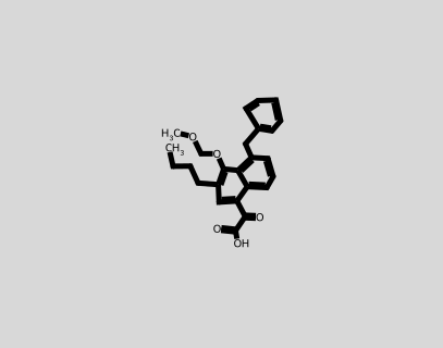 CCCCc1cc(C(=O)C(=O)O)c2cccc(Cc3ccccc3)c2c1OCOC